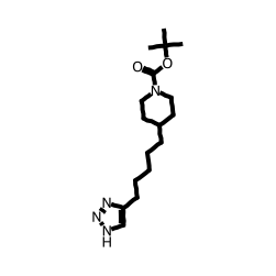 CC(C)(C)OC(=O)N1CCC(CCCCCc2c[nH]nn2)CC1